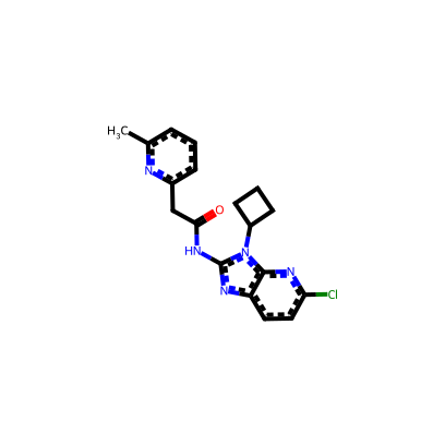 Cc1cccc(CC(=O)Nc2nc3ccc(Cl)nc3n2C2CCC2)n1